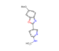 COc1ccc2nc(-c3ccc(NC(=O)O)nc3)oc2c1